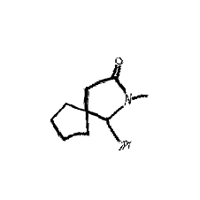 CC(C)C1N(C)C(=O)CC12CCCC2